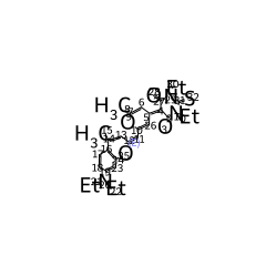 CCN1C(=O)C(=C2C=C(C)OC(/C=C3\C=C(C)c4ccc(N(CC)CC)cc4O3)=C2)C(=O)N(CC)C1=S